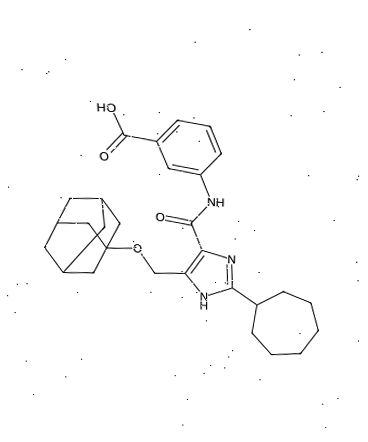 O=C(O)c1cccc(NC(=O)c2nc(C3CCCCCC3)[nH]c2COC23CC4CC(CC(C4)C2)C3)c1